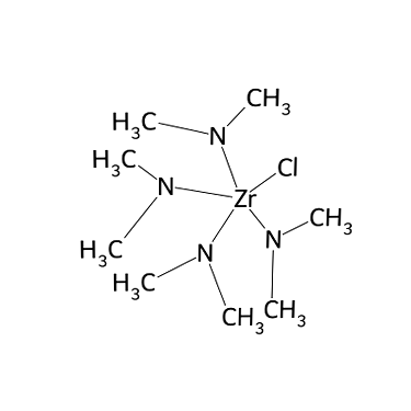 C[N](C)[Zr]([Cl])([N](C)C)([N](C)C)[N](C)C